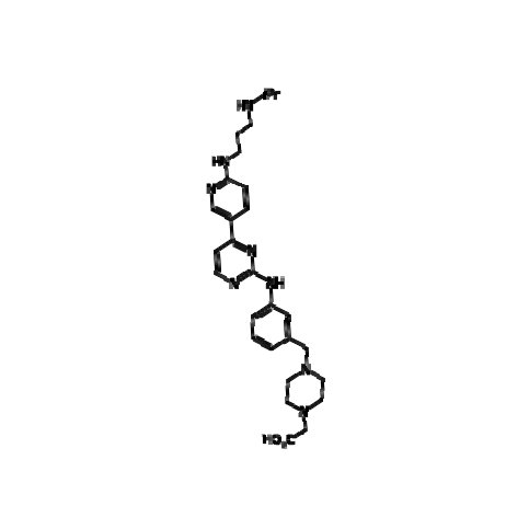 CC(C)NCCCNc1ccc(-c2ccnc(Nc3cccc(CN4CCN(CC(=O)O)CC4)c3)n2)cn1